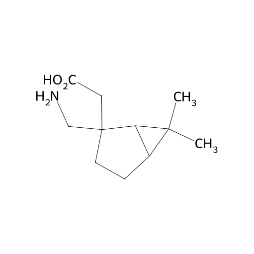 CC1(C)C2CCC(CN)(CC(=O)O)C21